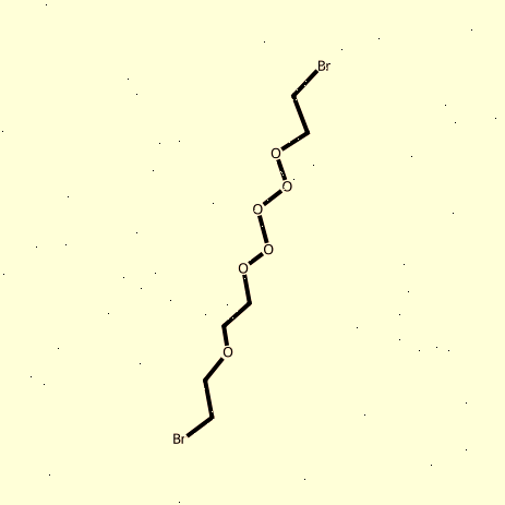 BrCCOCCOOOOOCCBr